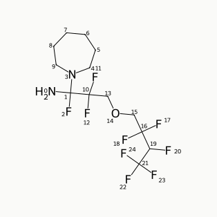 NC(F)(N1CCCCCC1)C(F)(F)COCC(F)(F)C(F)C(F)(F)F